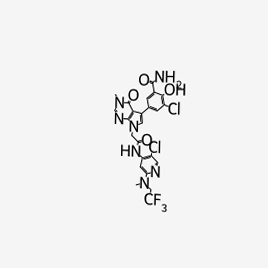 CN(CC(F)(F)F)c1cc(NC(=O)Cn2cc(-c3cc(Cl)c(O)c(C(N)=O)c3)c3c(=O)n(C)cnc32)c(Cl)cn1